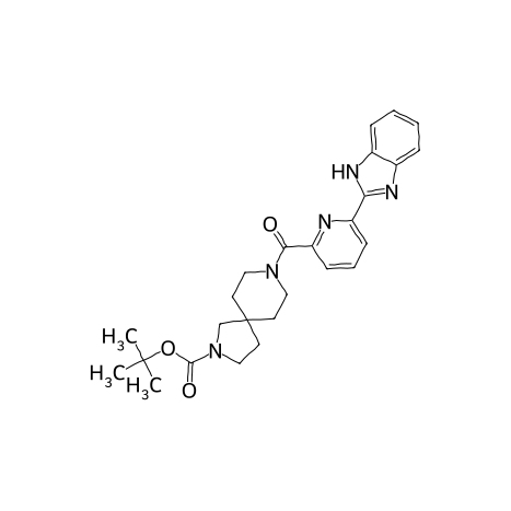 CC(C)(C)OC(=O)N1CCC2(CCN(C(=O)c3cccc(-c4nc5ccccc5[nH]4)n3)CC2)C1